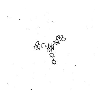 C1=CC(c2nc(-c3ccc(-c4ccccc4)cc3)nc(-c3ccc(-c4cccc5cccnc45)cc3)n2)CC=C1c1cccc2cccnc12